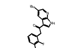 CCC(C)c1cnc2[nH]cc(C(=O)Cc3cccc(F)c3F)c2c1